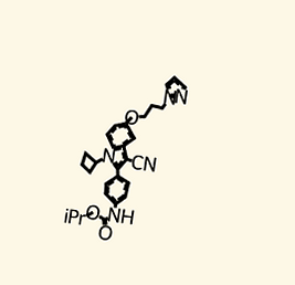 CC(C)OC(=O)Nc1ccc(-c2c(C#N)c3cc(OCCCn4cccn4)ccc3n2C2CCC2)cc1